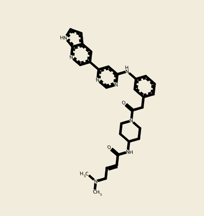 CN(C)CC=CC(=O)NC1CCN(C(=O)Cc2cccc(Nc3cc(-c4cnc5[nH]ccc5c4)ncn3)c2)CC1